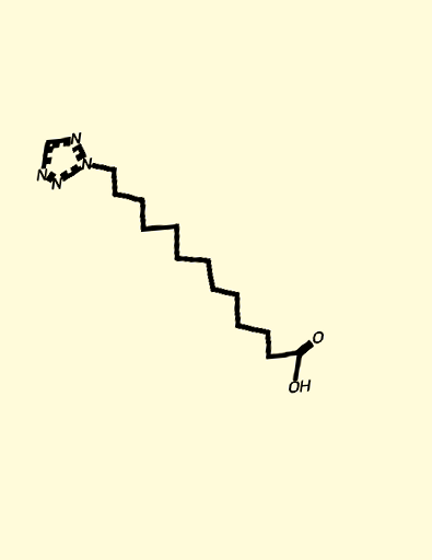 O=C(O)CCCCCCCCCCCCn1ncnn1